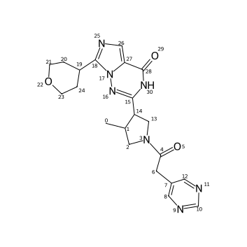 CC1CN(C(=O)Cc2cncnc2)CC1c1nn2c(C3CCOCC3)ncc2c(=O)[nH]1